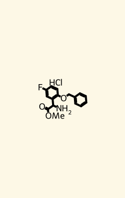 COC(=O)C(N)c1cc(F)ccc1OCc1ccccc1.Cl